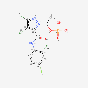 CC(OP(=O)(O)O)n1nc(Cl)c(Cl)c1C(=O)Nc1ccc(F)cc1Cl